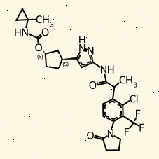 CC(C(=O)Nc1cc([C@H]2CC[C@H](OC(=O)NC3(C)CC3)C2)[nH]n1)c1ccc(N2CCCC2=O)c(C(F)(F)F)c1Cl